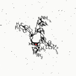 CC(C)(C)C(=O)OCOP1(=O)CO[C@H]2[C@@H](F)[C@H](n3cnc4c(N)ncnc43)O[C@@H]2COP(=O)(OCOC(=O)C(C)(C)C)O[C@@H]2[C@H](F)[C@@H](CO1)O[C@H]2n1cnc2c(N)ncnc21